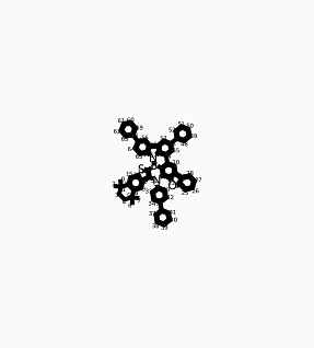 CC1(C)CCC(C)(C)c2cc3c4c(sc3cc21)B1c2c(cc3c(oc5ccccc53)c2N4c2ccc(-c3ccccc3)cc2)-c2cc(-c3ccccc3)cc3c4cc(-c5ccccc5)ccc4n1c23